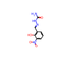 NC(=O)NN=Cc1cccc([N+](=O)[O-])c1O